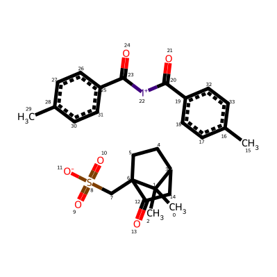 CC1(C)C2CCC1(CS(=O)(=O)[O-])C(=O)C2.Cc1ccc(C(=O)[I+]C(=O)c2ccc(C)cc2)cc1